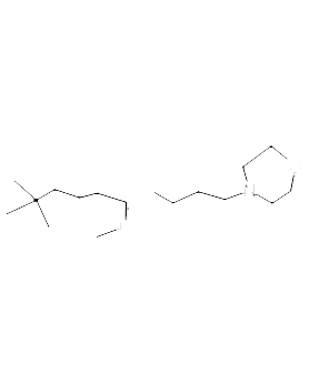 CO[C@@H](CCCCN1CCOCC1)CCCC(C)(C)C